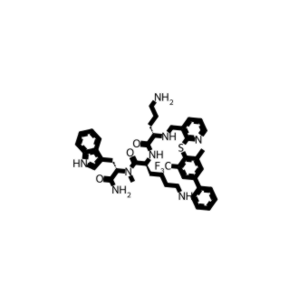 Cc1cc(-c2ccccc2)cc(C(F)(F)F)c1Sc1ncccc1CN[C@@H](CCCN)C(=O)N[C@@H](CCCCN)C(=O)N(C)[C@@H](Cc1c[nH]c2ccccc12)C(N)=O